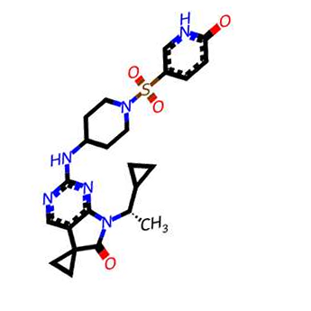 C[C@@H](C1CC1)N1C(=O)C2(CC2)c2cnc(NC3CCN(S(=O)(=O)c4ccc(=O)[nH]c4)CC3)nc21